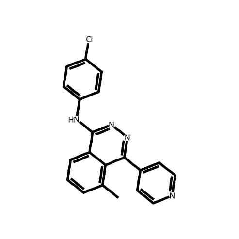 Cc1cccc2c(Nc3ccc(Cl)cc3)nnc(-c3ccncc3)c12